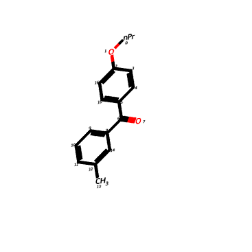 CCCOc1ccc(C(=O)c2cccc(C)c2)cc1